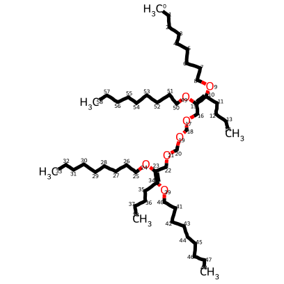 CCCCCCCCCOC(CCCC)=C(COCOCOCC(OCCCCCCCCC)=C(CCCC)OCCCCCCCCC)OCCCCCCCCC